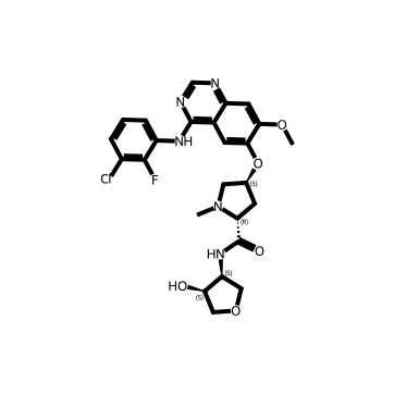 COc1cc2ncnc(Nc3cccc(Cl)c3F)c2cc1O[C@H]1C[C@H](C(=O)N[C@H]2COC[C@H]2O)N(C)C1